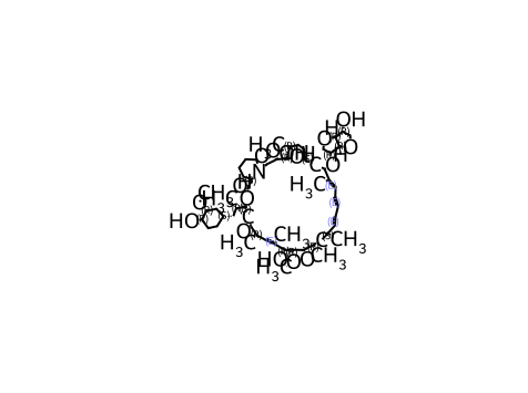 CO[C@@H]1C[C@H](C[C@@H](C)[C@@H]2CC(=O)[C@H](C)/C=C(\C)[C@@H](O)[C@@H](OC)C(=O)[C@H](C)C[C@H](C)/C=C/C=C/C=C(\C)C(O[C@@H]3CO[C@H]4[C@@H]3OC[C@H]4O)C[C@@H]3CC[C@@H](C)[C@@](O)(O3)C(=O)C(=O)N3CCCC[C@H]3C(=O)O2)CC[C@H]1O